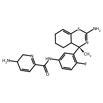 C[C@]1(c2cc(NC(=O)C3=NCC(N)C=C3)ccc2F)N=C(N)SC2=CCCCC21